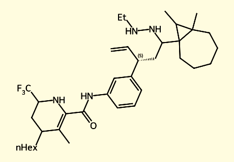 C=C[C@H](CC(NNCC)C12CCCCCC1(C)C2C)c1cccc(NC(=O)C2=C(C)C(CCCCCC)CC(C(F)(F)F)N2)c1